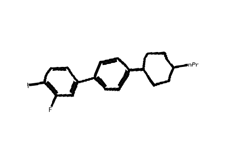 CCCC1CCC(c2ccc(-c3ccc(I)c(F)c3)cc2)CC1